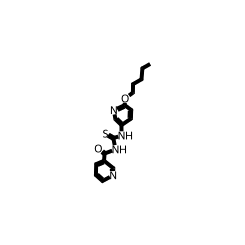 CCCCCOc1ccc(NC(=S)NC(=O)c2cccnc2)cn1